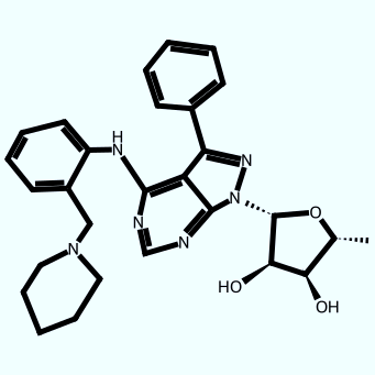 C[C@H]1O[C@@H](n2nc(-c3ccccc3)c3c(Nc4ccccc4CN4CCCCC4)ncnc32)[C@H](O)[C@@H]1O